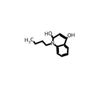 CCCCN1c2ccccc2C(O)=CC1O